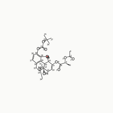 CC(=O)O[C@@H](C)C(=O)OC1=CC[C@]2(O)C3Cc4ccc(OC(=O)OC(C)(C)C)c5c4[C@@]2(CCN3C)[C@H]1O5